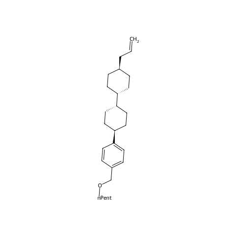 C=CC[C@H]1CC[C@H]([C@H]2CC[C@H](c3ccc(COCCCCC)cc3)CC2)CC1